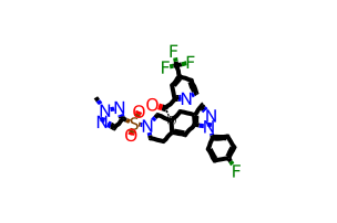 Cn1ncc(S(=O)(=O)N2CCC3=Cc4c(cnn4-c4ccc(F)cc4)C[C@]3(C(=O)c3cc(C(F)(F)F)ccn3)C2)n1